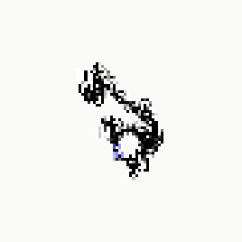 C=CC(=O)Nc1cc(C(=O)NCCOCCOCCN2C(=O)CC(SCCC(=O)N(C)[C@@H](C)C(=O)O[C@H]3CC(=O)N(C)c4cc(cc(OC)c4Cl)C/C(C)=C/C=C/[C@@H](OC)[C@](O)(NC(=O)N=O)CC[C@@H](C)C[C@@]3(C)O)C2=O)cc(N2C(=O)C=CC2=O)c1